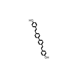 Oc1ccc(C=Cc2ccc(-c3ccc(C=Cc4ccc(O)cc4)cc3)cc2)cc1